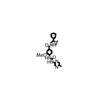 COc1cc(C(=O)NCC(c2ccccc2)N(C)C)ccc1NC(=O)Nc1cnc(C)cn1